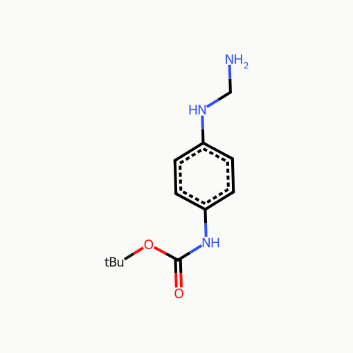 CC(C)(C)OC(=O)Nc1ccc(NCN)cc1